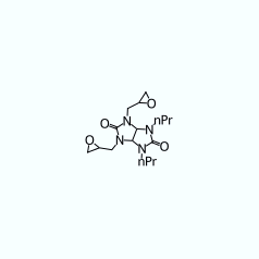 CCCN1C(=O)N(CCC)C2C1N(CC1CO1)C(=O)N2CC1CO1